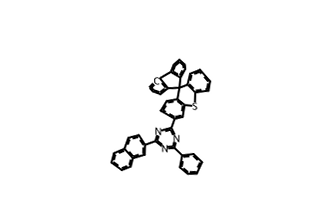 c1ccc(-c2nc(-c3ccc4c(c3)Sc3ccccc3C43c4ccccc4-c4ccccc43)nc(-c3ccc4ccccc4c3)n2)cc1